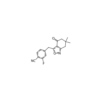 CC1(C)CC(=O)c2c(noc2Cc2ccc(C#N)c(F)c2)C1